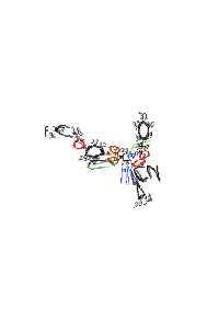 N#CC1(NC(=O)[C@@H]2C[C@@H](S(=O)(=O)c3ccc(OCC(F)(F)F)cc3Cl)CN2C(=O)C(F)(F)c2ccccc2)CC1